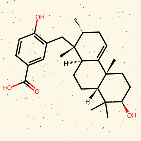 C[C@@H]1CC=C2[C@@H](CC[C@H]3C(C)(C)[C@H](O)CC[C@@]23C)[C@]1(C)Cc1cc(C(=O)O)ccc1O